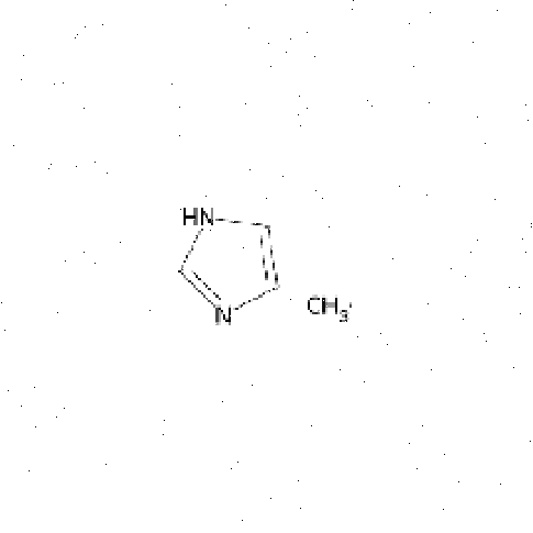 [CH3].c1c[nH]cn1